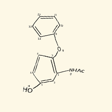 CC(=O)Nc1cc(O)ccc1Oc1ccccc1